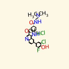 CC(=O)c1cnc2ccc(-c3cc(F)c(O)c(Cl)c3)cc2c1N[C@H]1CC[C@H](C(=O)NCCN(C)C)CC1.Cl